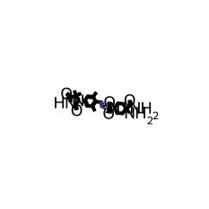 Cc1cc(N2C(=O)NC(=O)C2(C)C)cc(C)c1/C=C/S(=O)(=O)N1CCC(N)(C(N)=O)CC1